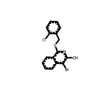 Oc1nc(SCc2ccccc2Cl)c2ccccc2c1Br